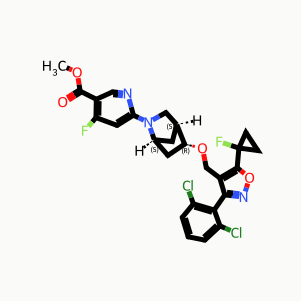 COC(=O)c1cnc(N2C[C@@H]3C[C@H]2C[C@H]3OCc2c(-c3c(Cl)cccc3Cl)noc2C2(F)CC2)cc1F